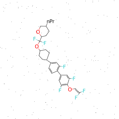 CCCC1CCC(C(F)(F)OC2CCC(c3ccc(-c4cc(F)c(OC=C(F)F)c(F)c4)c(F)c3)CC2)OC1